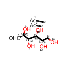 CC(C)=O.CC(C)=O.O=C[C@@H](O)[C@@H](O)[C@H](O)[C@@H](O)CO